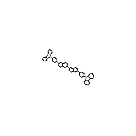 c1ccc2c(c1)c1ccccc1n2-c1ccc(-c2ccc3cc(-c4ccc5cc(-c6ccc(-n7c8ccccc8c8ccccc87)cc6)ccc5c4)ccc3c2)cc1